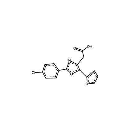 O=C(O)Cc1nc(-c2ccc(Cl)cc2)oc1-c1cccs1